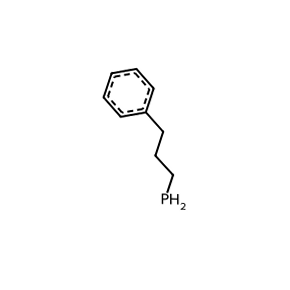 PCCCc1ccccc1